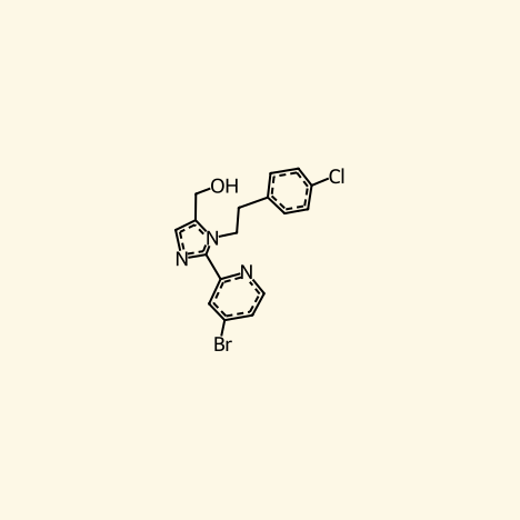 OCc1cnc(-c2cc(Br)ccn2)n1CCc1ccc(Cl)cc1